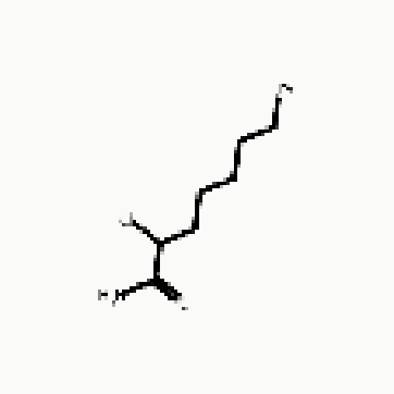 CC(C)CCCCCC(Cl)C(N)=O